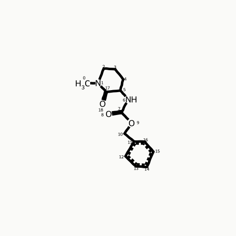 CN1CCCC(NC(=O)OCc2ccccc2)C1=O